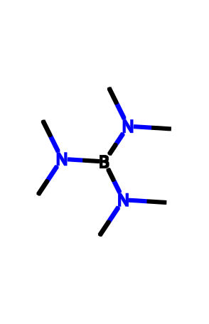 CN(C)B(N(C)C)N(C)C